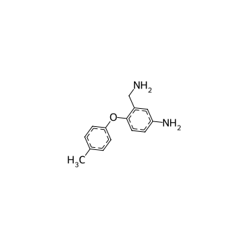 Cc1ccc(Oc2ccc(N)cc2CN)cc1